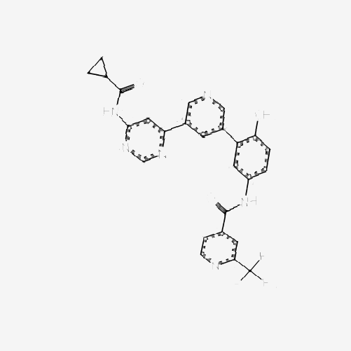 Cc1ccc(NC(=O)c2ccnc(C(F)(F)F)c2)cc1-c1cncc(-c2cc(NC(=O)C3CC3)ncn2)c1